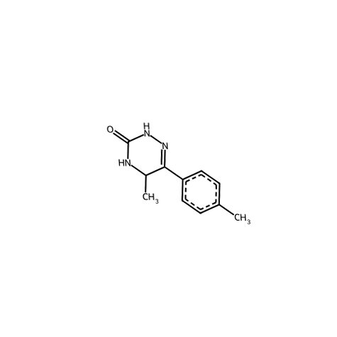 Cc1ccc(C2=NNC(=O)NC2C)cc1